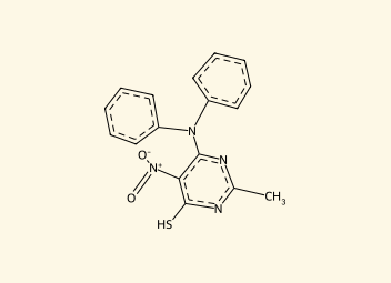 Cc1nc(S)c([N+](=O)[O-])c(N(c2ccccc2)c2ccccc2)n1